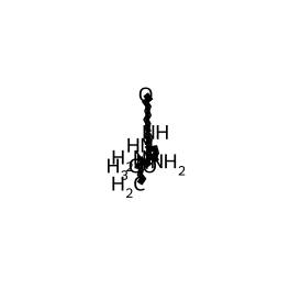 C=CCCC(C)N(N)C(=O)C1=CC(NCCNCCCCCCCC=O)CC=C1N